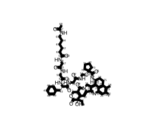 CC[C@@]1(O)C(=O)OCc2c1cc1n(c2=O)Cc2c-1nc1cc(F)c(C)c3c1c2[C@@H](NC(=O)C1(OCNC(=O)CNC(=O)[C@H](Cc2ccccc2)NC(=O)CNC(=O)CNC(=O)CCCCCNC(C)=O)CCCC1)CC3